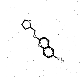 Nc1ccc2nc(OCC3CCCO3)ccc2c1